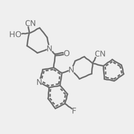 N#CC1(O)CCN(C(=O)c2cnc3ccc(F)cc3c2N2CCC(C#N)(c3ccccc3)CC2)CC1